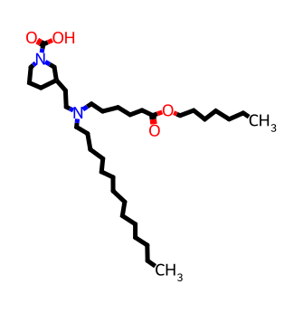 CCCCCCCCCCCCCCN(CCCCCC(=O)OCCCCCCC)CCC1CCCN(C(=O)O)C1